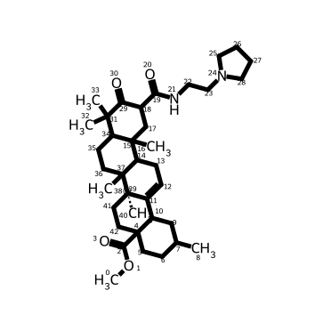 COC(=O)C12CCC(C)CC1C1=CCC3C4(C)CC(C(=O)NCCN5CCCC5)C(=O)C(C)(C)C4CCC3(C)[C@]1(C)CC2